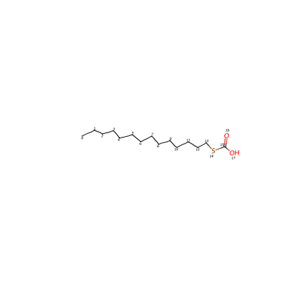 CCCCCCCCCCCCCCSC(=O)O